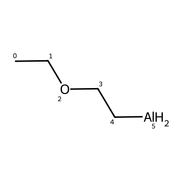 CCOC[CH2][AlH2]